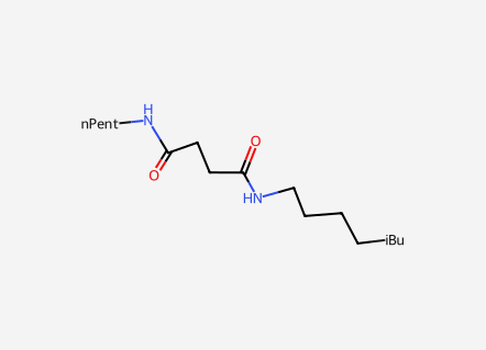 CCCCCNC(=O)CCC(=O)NCCCCC(C)CC